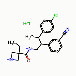 CCC1(C(=O)NCC(c2cccc(C#N)c2)C(C)c2ccc(Cl)cc2)CNC1.Cl